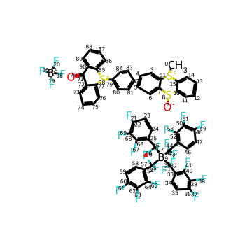 C[S+]1c2ccccc2[S+]([O-])c2ccccc21.F[B-](F)(F)F.Fc1ccc(C(F)(F)[B-](C(F)(F)c2ccc(F)c(F)c2F)(C(F)(F)c2ccc(F)c(F)c2F)C(F)(F)c2ccc(F)c(F)c2F)c(F)c1F.O=c1c2ccccc2[s+](-c2ccccc2)c2ccccc12